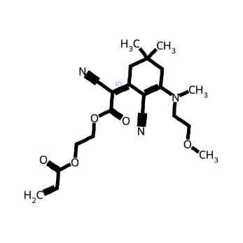 C=CC(=O)OCCOC(=O)/C(C#N)=C1/CC(C)(C)CC(N(C)CCOC)=C1C#N